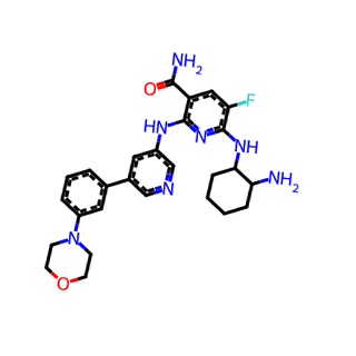 NC(=O)c1cc(F)c(NC2CCCCC2N)nc1Nc1cncc(-c2cccc(N3CCOCC3)c2)c1